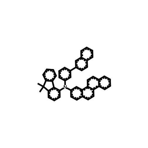 CC1(C)c2ccccc2-c2c(N(c3cccc(-c4ccc5ccccc5c4)c3)c3ccc4ccc5c6ccccc6ccc5c4c3)cccc21